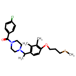 CSCCCOc1ccc(C(C)N2CCN(C(=O)c3ccc(Cl)cc3)CC2)c(C)c1C